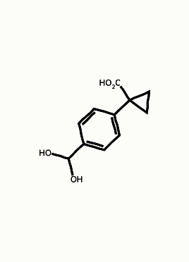 O=C(O)C1(c2ccc(C(O)O)cc2)CC1